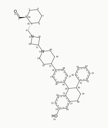 O=C[C@H]1CCCC[C@@H]1CN1CC(N2CCC(c3ccc(C4c5ccc(O)cc5CCC4c4ccccc4)cc3)CC2)C1